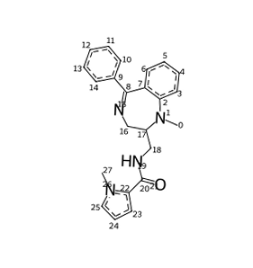 CN1c2ccccc2C(c2ccccc2)=NCC1CNC(=O)c1cccn1C